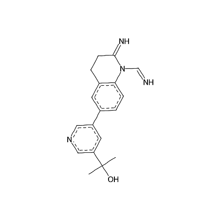 CC(C)(O)c1cncc(-c2ccc3c(c2)CCC(=N)N3C=N)c1